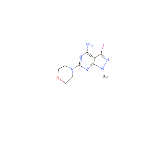 CC[C@@H](C)n1nc(I)c2c(N)nc(N3CCOCC3)nc21